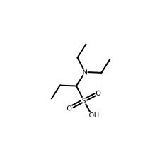 CC[C](N(CC)CC)S(=O)(=O)O